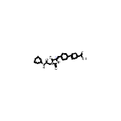 O=C(CN1C(=O)N/C(=C\c2ccc(-c3ccc(C(=O)O)cc3)cc2)C1=O)Nc1ccccc1